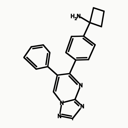 NC1(c2ccc(-c3nc4n[c]nn4cc3-c3ccccc3)cc2)CCC1